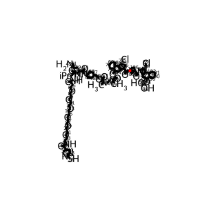 CC(C)C(NC(=O)CCOCCOCCOCCOCCOCCOCCNC(=O)c1cnc(S)nc1)C(=O)N[C@@H](CCCN)C(=O)Nc1ccc(COC(=O)N(C)CCN(C)C(=O)Oc2cc3c(c4ccccc24)[C@H](CCl)CN3C(=O)C2CC3(C(=O)N4C[C@@H](CCl)c5c4cc(OP(O)O)c4ccccc54)CC2C3)cc1